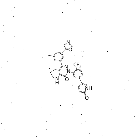 Cc1cc(-c2cnco2)cc(-c2nn(-c3cc(-c4ccc(=O)[nH]c4)ccc3C(F)(F)F)c(=O)c3c2CCCN3)c1